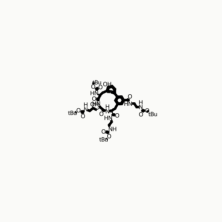 CC(C)(C)OC(=O)NCCNC(=O)c1cc2cc(c1)-c1ccc(O)c(c1)C[C@H](NC(=O)OC(C)(C)C)C(=O)N[C@@H](C[C@@H](O)CNC(=O)OC(C)(C)C)C(=O)N[C@H](C(=O)NCCNC(=O)OC(C)(C)C)C2